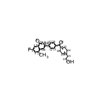 Cc1cc(F)cc2c(=O)[nH]c(-c3ccc(C(=O)N4CCN(CCO)CC4)cc3)cc12